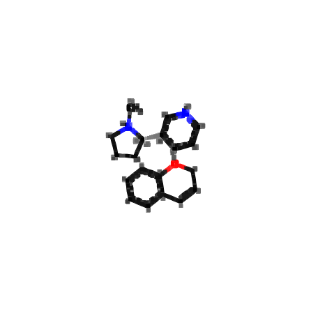 C1=Cc2ccccc2OC1.CN1CCC[C@H]1c1cccnc1